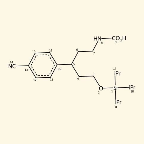 CC(C)[Si](OCCC(CCNC(=O)O)c1ccc(C#N)cc1)(C(C)C)C(C)C